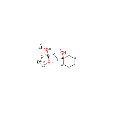 CCO[Si](CCC1(O)CCCCC1)(OCC)OCC